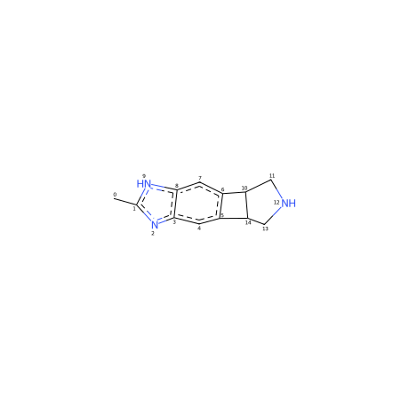 Cc1nc2cc3c(cc2[nH]1)C1CNCC31